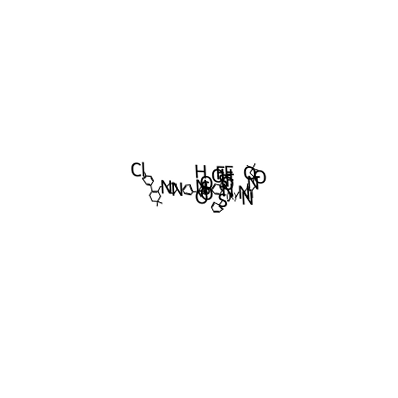 CC1(C)CCC(c2ccc(Cl)cc2)=C(CN2CCN(c3ccc(C(=O)NS(=O)(=O)c4ccc(N[C@H](CCn5ncc6c5CN(C(=O)OC(C)(C)C)C6)CSc5ccccc5)c(S(=O)(=O)C(F)(F)F)c4)cc3)CC2)C1